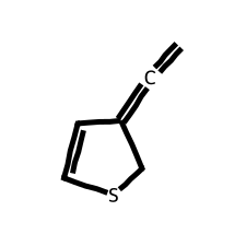 C=C=C1C=CSC1